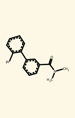 CC(C)c1ccccc1-c1cccc(C(=O)N(C)C)c1